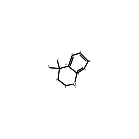 CC1(C)C[CH]Oc2ccccc21